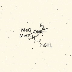 COC(OC)(OC)[N+](C)(C)CCC[SiH3].FC(F)F